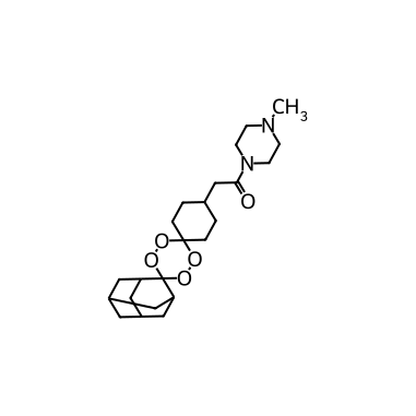 CN1CCN(C(=O)CC2CCC3(CC2)OOC2(OO3)C3CC4CC(C3)CC2C4)CC1